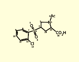 CC(=O)N1CC(S(=O)(=O)c2ccccc2Cl)CC1C(=O)O